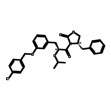 CC(C)O[C@@H](Cc1cccc(OCc2ccc(Cl)cc2)c1)C(=O)N1C(=O)OC[C@@H]1Cc1ccccc1